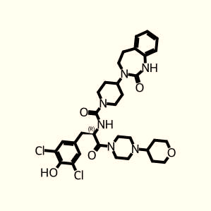 O=C(N[C@H](Cc1cc(Cl)c(O)c(Cl)c1)C(=O)N1CCN(C2CCOCC2)CC1)N1CCC(N2CCc3ccccc3NC2=O)CC1